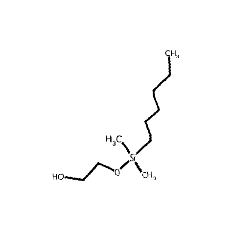 CCCCCC[Si](C)(C)OCCO